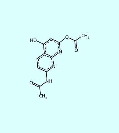 CC(=O)Nc1ccc2c(O)cc(OC(C)=O)nc2n1